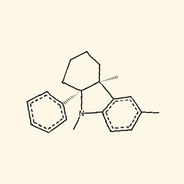 Cc1ccc2c(c1)[C@]1(C)CCCC[C@]1(c1ccccc1)N2C